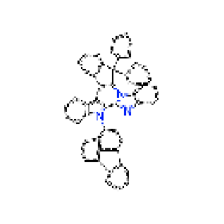 c1ccc(C2(c3ccccc3)c3ccccc3-c3c2n2c4ccccc4nc2c2c3c3ccccc3n2-c2ccc3c4c(cccc24)-c2ccccc2-3)cc1